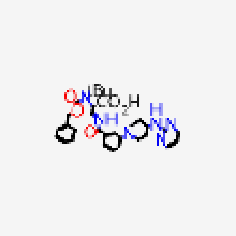 CC(C)(C)N(C(=O)OCc1ccccc1)[C@@H](CNC(=O)c1cccc(N2CCC(Nc3ncccn3)CC2)c1)C(=O)O